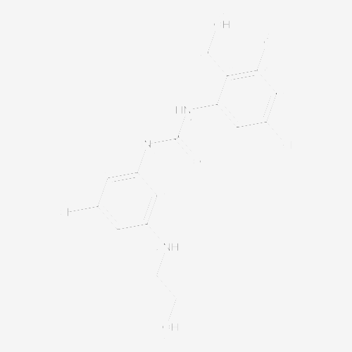 O=C(Nc1cc(Cl)cc(NCCO)c1)Nc1cc(Cl)cc(Cl)c1CO